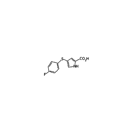 O=C(O)c1cc(Sc2ccc(F)cc2)c[nH]1